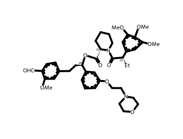 CC[C@H](C(=O)N1CCCC[C@H]1C(=O)O[C@H](CCc1ccc(C=O)c(OC)c1)c1cccc(OCCN2CCOCC2)c1)c1cc(OC)c(OC)c(OC)c1